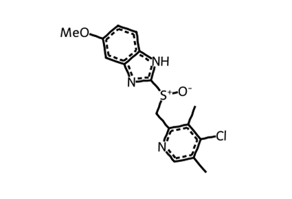 COc1ccc2[nH]c([S+]([O-])Cc3ncc(C)c(Cl)c3C)nc2c1